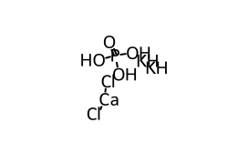 O=P(O)(O)O.[Cl][Ca][Cl].[KH].[KH]